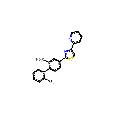 Cc1ccccc1-c1ccc(-c2nc(-c3ccccn3)cs2)cc1C(=O)O